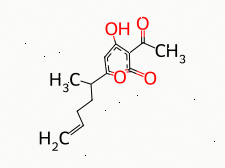 C=CCCC(C)c1cc(O)c(C(C)=O)c(=O)o1